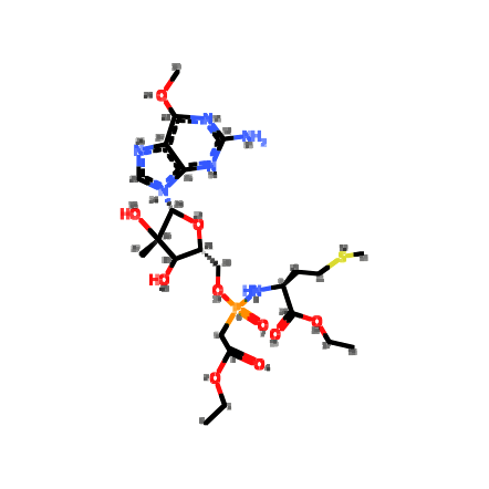 CCOC(=O)CP(=O)(N[C@@H](CCSC)C(=O)OCC)OC[C@H]1O[C@@H](n2cnc3c(OC)nc(N)nc32)[C@@](C)(O)C1O